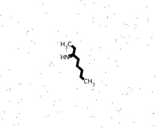 CCCCCC(=N)CC